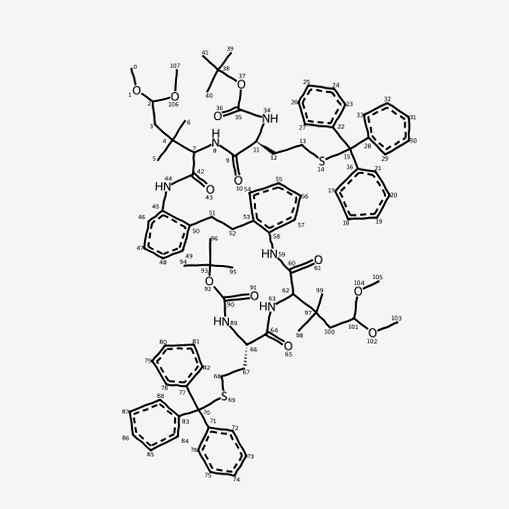 COC(CC(C)(C)C(NC(=O)[C@H](CCSC(c1ccccc1)(c1ccccc1)c1ccccc1)NC(=O)OC(C)(C)C)C(=O)Nc1ccccc1CCc1ccccc1NC(=O)C(NC(=O)[C@H](CCSC(c1ccccc1)(c1ccccc1)c1ccccc1)NC(=O)OC(C)(C)C)C(C)(C)CC(OC)OC)OC